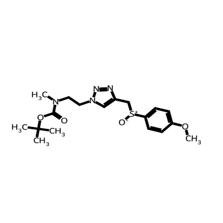 COc1ccc([S+]([O-])Cc2cn(CCN(C)C(=O)OC(C)(C)C)nn2)cc1